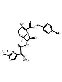 CON=C(C(=O)NC1C(=O)N2C(C(=O)OCc3ccc([N+](=O)[O-])cc3)=C(O)CS[C@H]12)c1csc(NC=O)n1